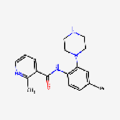 Cc1ncccc1C(=O)Nc1ccc(C(C)C)cc1N1CCNCC1